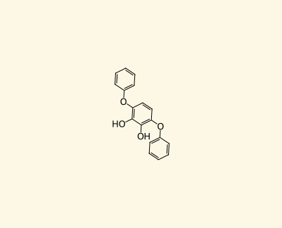 Oc1c(Oc2ccccc2)ccc(Oc2ccccc2)c1O